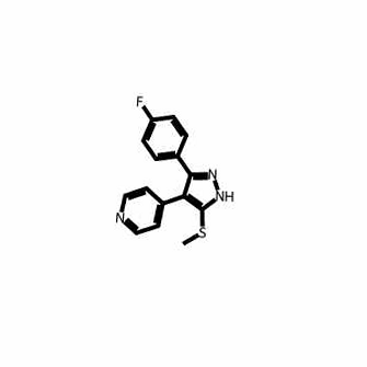 CSc1[nH]nc(-c2ccc(F)cc2)c1-c1ccncc1